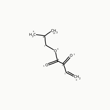 C=CC(=O)C(=O)OCC(C)C